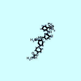 CNC(=O)OC1CCN(c2ccc(Nc3ncc(Cl)c(Nc4ccccc4P(C)(C)=O)n3)c(OC)c2)CC1